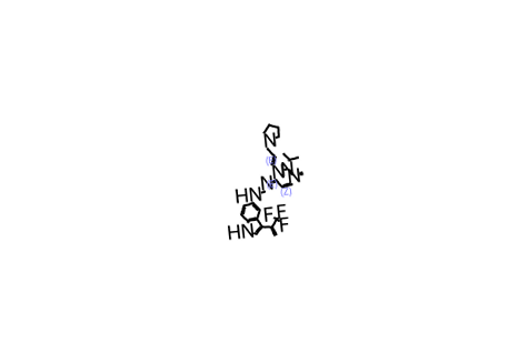 C=N/C=C\C(=N/CNc1ccc2[nH]cc(C(=C)C(F)(F)F)c2c1)N(/C=C/CN1CCCC1)N=C(C)C